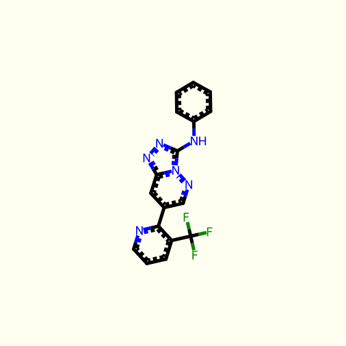 FC(F)(F)c1cccnc1-c1cnn2c(Nc3ccccc3)nnc2c1